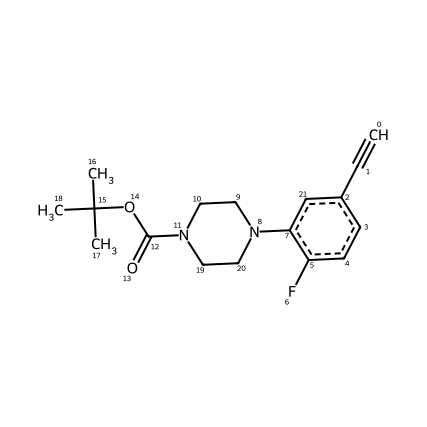 C#Cc1ccc(F)c(N2CCN(C(=O)OC(C)(C)C)CC2)c1